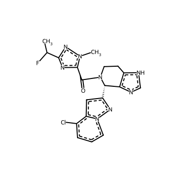 CC(F)c1nc(C(=O)N2CCc3[nH]cnc3[C@@H]2c2cc3c(Cl)cccn3n2)n(C)n1